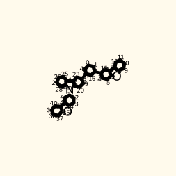 c1cc(-c2ccc3oc4ccccc4c3c2)cc(-c2ccc3c(c2)c2ccccc2n3-c2ccc3oc4ccccc4c3c2)c1